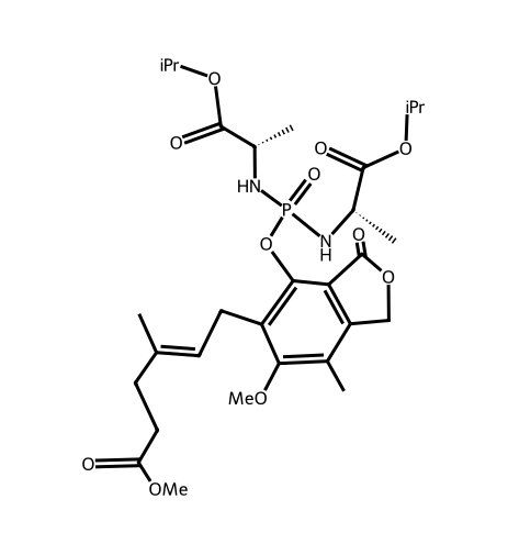 COC(=O)CC/C(C)=C/Cc1c(OC)c(C)c2c(c1OP(=O)(N[C@@H](C)C(=O)OC(C)C)N[C@@H](C)C(=O)OC(C)C)C(=O)OC2